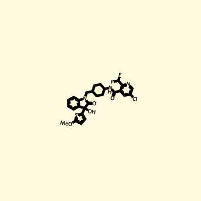 COc1ccc(C2(O)C(=O)N(CC3CCC(NC(=O)c4cc(Cl)cnc4C(F)F)CC3)c3ccccc32)s1